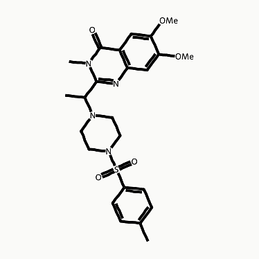 COc1cc2nc(C(C)N3CCN(S(=O)(=O)c4ccc(C)cc4)CC3)n(C)c(=O)c2cc1OC